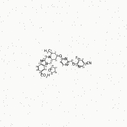 C[C@H]1C[C@@H](Oc2ccnc(COc3ncc(C#N)cc3F)n2)CCN1Cc1nc2ccc(C(=O)O)cc2n1C[C@@H]1CCCO1